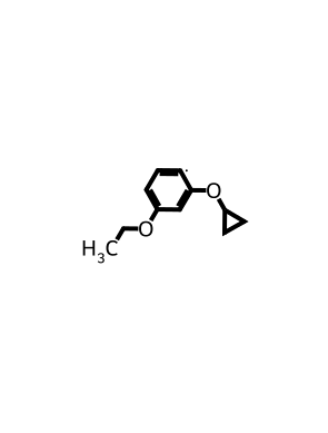 CCOc1cc[c]c(OC2CC2)c1